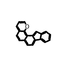 c1ccc2c(c1)cc1c2ccc2ccc3cccoc3c21